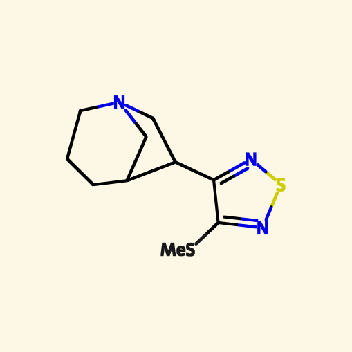 CSc1nsnc1C1CN2CCCC1C2